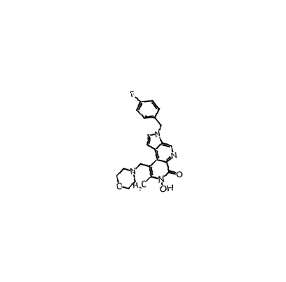 Cc1c(CN2CCOCC2)c2c(ncc3c2ccn3Cc2ccc(F)cc2)c(=O)n1O